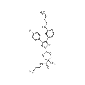 CCCNC(=O)C1(C)COC(c2nc(-c3ccc(F)cc3)c(-c3ccnc(NCCOC)n3)[nH]2)OC1